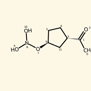 CC(=O)[C@H]1CC[C@H](ON(O)O)C1